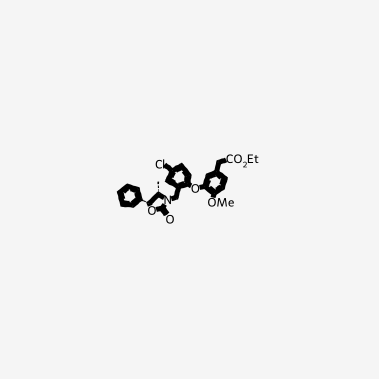 CCOC(=O)Cc1ccc(OC)c(Oc2ccc(Cl)cc2CN2C(=O)O[C@H](c3ccccc3)[C@@H]2C)c1